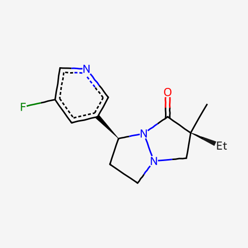 CC[C@@]1(C)CN2CC[C@@H](c3cncc(F)c3)N2C1=O